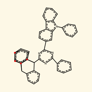 c1ccc(-c2nc(-c3ccc4c5ccccc5n(-c5ccccc5)c4c3)nc(C34c5ccccc5C(c5ccccc53)c3ccccc34)n2)cc1